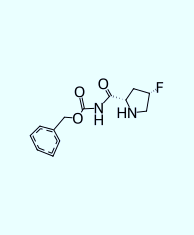 O=C(NC(=O)[C@@H]1C[C@H](F)CN1)OCc1ccccc1